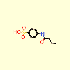 CCCC(=O)Nc1ccc(S(=O)(=O)O)cc1